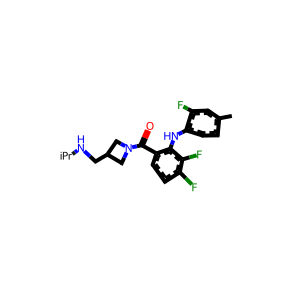 Cc1ccc(Nc2c(C(=O)N3CC(CNC(C)C)C3)ccc(F)c2F)c(F)c1